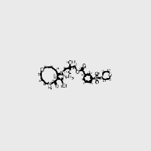 CCc1nn(CC(C)(C)COC(=O)c2cccc(S(=O)(=O)N3CCOCC3)c2)c2c1C(=O)NCCCOCCC2